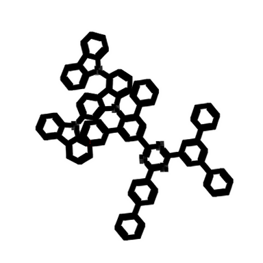 c1ccc(-c2ccc(-c3nc(-c4cc(-c5ccccc5)cc(-c5ccccc5)c4)nc(-c4cc(-c5ccccc5)c(-n5c6cc(-n7c8ccccc8c8ccccc87)ccc6c6c(-n7c8ccccc8c8ccccc87)cccc65)c(-c5ccccc5)c4)n3)cc2)cc1